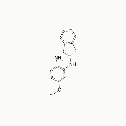 CCOc1ccc(N)c(NC2Cc3ccccc3C2)c1